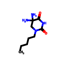 CCCCCN1CC(N)(N)C(=O)NC1=O